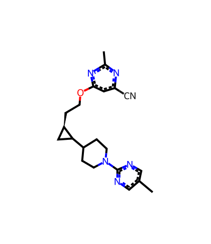 Cc1cnc(N2CCC(C3C[C@H]3CCOc3cc(C#N)nc(C)n3)CC2)nc1